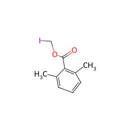 Cc1cccc(C)c1C(=O)OCI